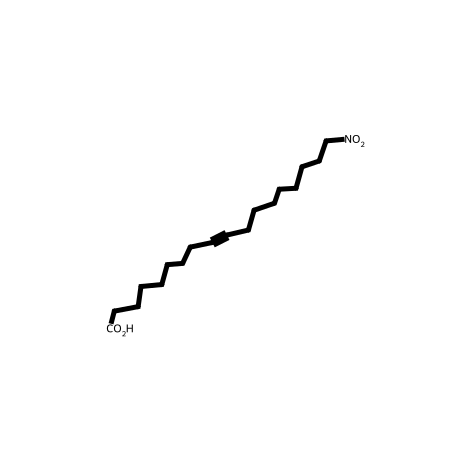 O=C(O)CCCCCCCC#CCCCCCCCC[N+](=O)[O-]